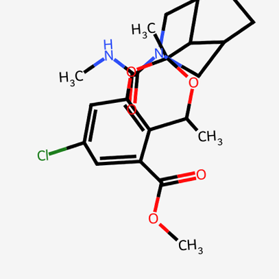 CNC(=O)N1CC2CCC(C1)C2C1(C)Oc2cc(Cl)cc(C(=O)OC)c2C(C)O1